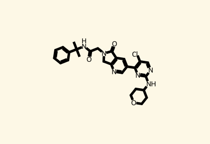 CC(C)(NC(=O)CN1Cc2ncc(-c3nc(NC4CCOCC4)ncc3Cl)cc2C1=O)c1ccccc1